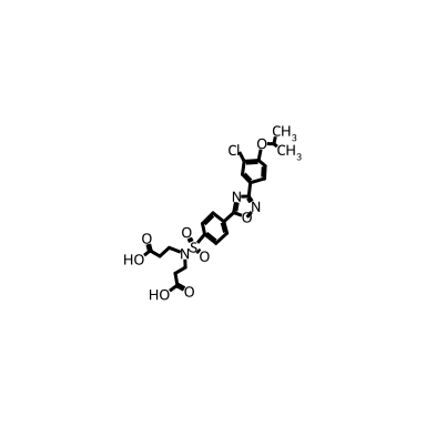 CC(C)Oc1ccc(-c2noc(-c3ccc(S(=O)(=O)N(CCC(=O)O)CCC(=O)O)cc3)n2)cc1Cl